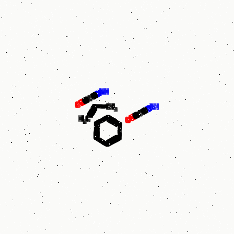 C=CC.N=C=O.N=C=O.c1ccccc1